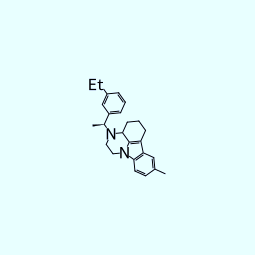 CCc1cccc([C@H](C)N2CCn3c4c(c5cc(C)ccc53)CCCC42)c1